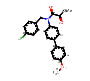 COC(=O)C(=O)N(Cc1ccc(F)cc1)c1ccc(-c2ccc(OC(F)(F)F)cc2)cc1